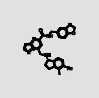 CC(=O)c1ccc2c(c1C)CC[C@@H]2NCc1cc(C(=O)NCc2ccc3c(c2)OCO3)nc2ccnn12